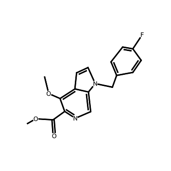 COC(=O)c1ncc2c(ccn2Cc2ccc(F)cc2)c1OC